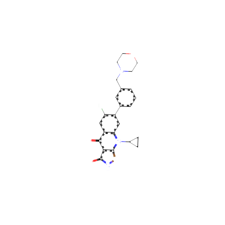 O=c1[nH]sc2c1c(=O)c1cc(F)c(-c3cccc(CN4CCOCC4)c3)cc1n2C1CC1